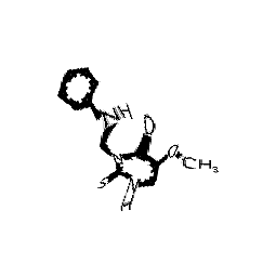 COc1c[nH]c(=S)n(CNc2ccccc2)c1=O